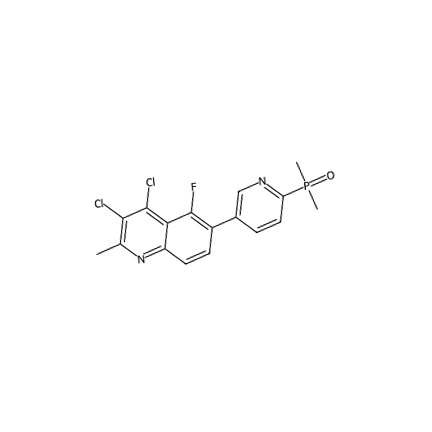 Cc1nc2ccc(-c3ccc(P(C)(C)=O)nc3)c(F)c2c(Cl)c1Cl